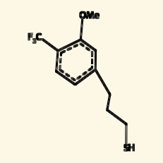 COc1cc(CCCS)ccc1C(F)(F)F